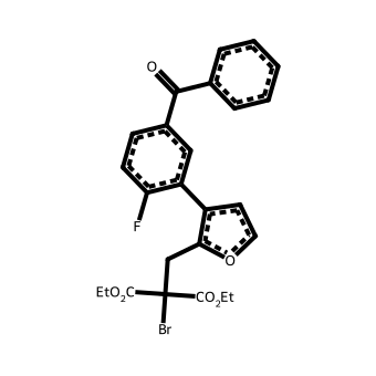 CCOC(=O)C(Br)(Cc1occc1-c1cc(C(=O)c2ccccc2)ccc1F)C(=O)OCC